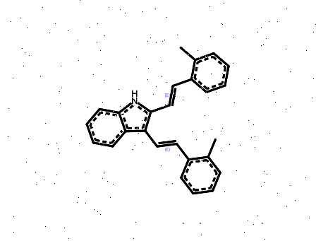 Cc1ccccc1/C=C/c1[nH]c2ccccc2c1/C=C/c1ccccc1C